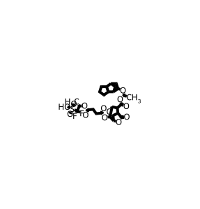 CC(OC(=O)C1C2OC3C(OC(=O)C31)C2OC(=O)CCC(=O)OC(C)C(F)(F)S(=O)(=O)O)OC1CC2CC1C1CCCC21